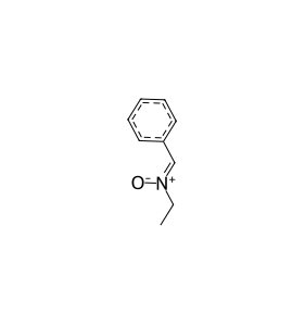 CC[N+]([O-])=Cc1ccccc1